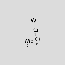 [C].[Cr].[Mo].[W]